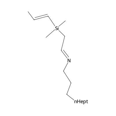 CC=C[Si](C)(C)CC=NCCCCCCCCCC